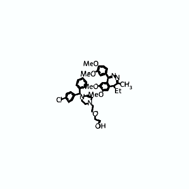 CCC1C(C)=NN=C(c2ccc(OC)c(OC)c2)c2cc(OC)c(OC)cc21.OCCOCCN1CCN(C(c2ccccc2)c2ccc(Cl)cc2)CC1